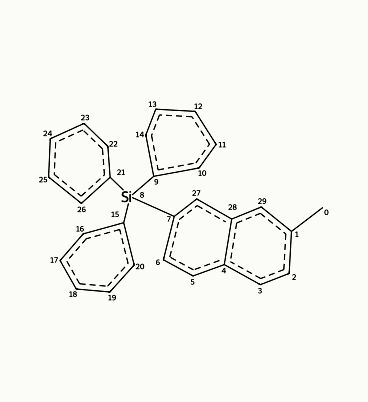 Cc1ccc2ccc([Si](c3ccccc3)(c3ccccc3)c3ccccc3)cc2c1